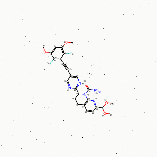 COc1cc(OC)c(F)c(C#Cc2cnc(C3CCc4ccc(C(OC)OC)nc4N3C(N)=O)nc2)c1F